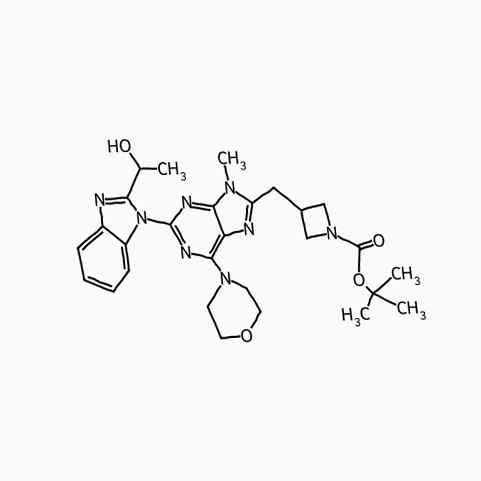 CC(O)c1nc2ccccc2n1-c1nc(N2CCOCC2)c2nc(CC3CN(C(=O)OC(C)(C)C)C3)n(C)c2n1